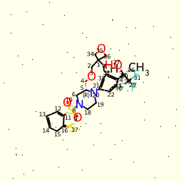 CC1(COC[C@H]2CN(S(=O)(=O)C3=CC=CCC3=S)CCN2c2ccc([C@@](C)(O)C(F)(F)F)cc2)COC1